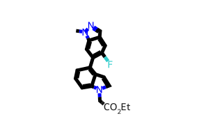 CCOC(=O)Cn1ccc2c(-c3cc4c(cnn4C)cc3F)cccc21